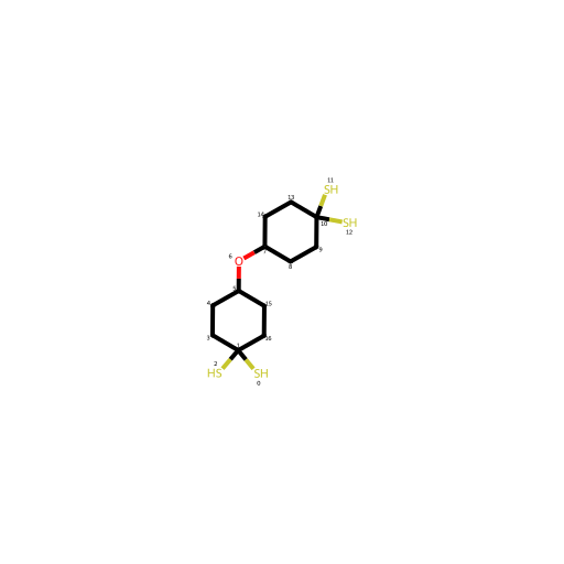 SC1(S)CCC(OC2CCC(S)(S)CC2)CC1